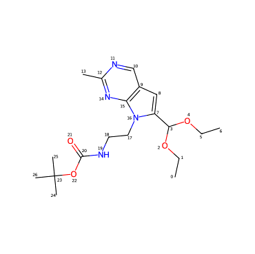 CCOC(OCC)c1cc2cnc(C)nc2n1CCNC(=O)OC(C)(C)C